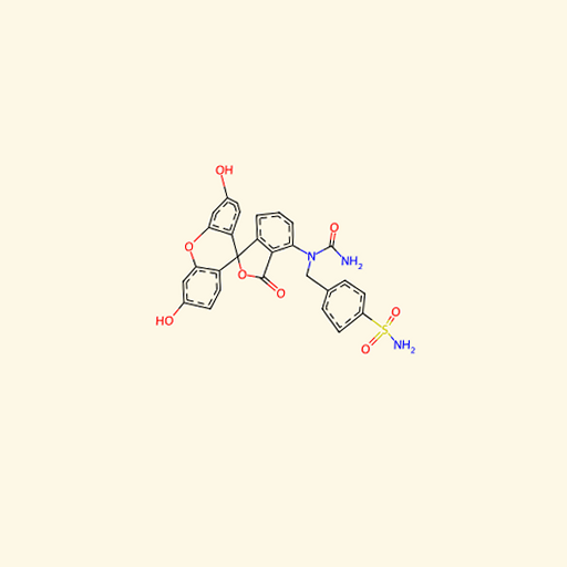 NC(=O)N(Cc1ccc(S(N)(=O)=O)cc1)c1cccc2c1C(=O)OC21c2ccc(O)cc2Oc2cc(O)ccc21